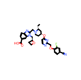 CC[C@@H]1C[C@H](Oc2ccnc(COc3ccc(C#N)cc3F)n2)CCN1Cc1nc2ccc(C(=O)O)cc2n1C[C@@H]1CCO1